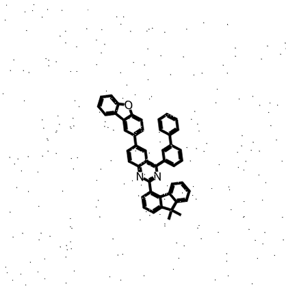 CC1(C)c2ccccc2-c2c(-c3nc(-c4cccc(-c5ccccc5)c4)c4cc(-c5ccc6oc7ccccc7c6c5)ccc4n3)cccc21